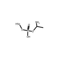 CC(N)OP(=O)(O)O[SeH]